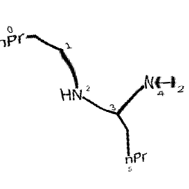 CCCCNC(N)CCC